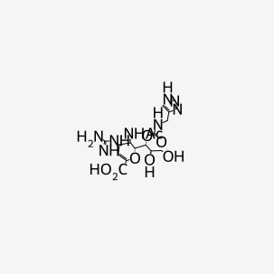 CC(=O)N[C@H]1[C@H]([C@H](OC(=O)NCc2c[nH]nn2)[C@H](O)CO)OC(C(=O)O)=C[C@@H]1NC(=N)N